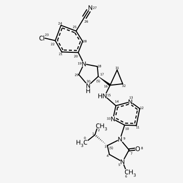 CC(C)[C@H]1CN(C)C(=O)N1c1ccnc(NC2([C@@H]3CN(c4cc(Cl)cc(C#N)c4)CN3)CC2)n1